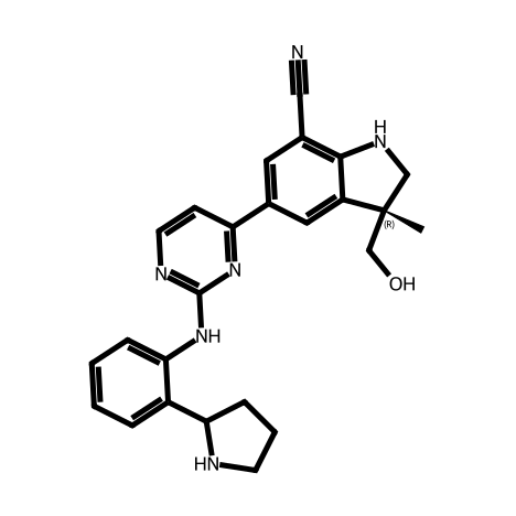 C[C@]1(CO)CNc2c(C#N)cc(-c3ccnc(Nc4ccccc4C4CCCN4)n3)cc21